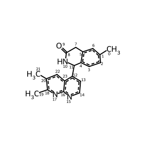 Cc1ccc2c(c1)CC(=O)NC2c1ccnc2nc(C)c(C)cc12